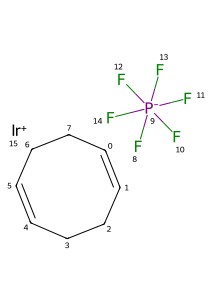 C1=CCCC=CCC1.F[P-](F)(F)(F)(F)F.[Ir+]